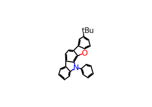 CC(C)(C)c1ccc2oc3c(ccc4c5ccccc5n(-c5ccccc5)c43)c2c1